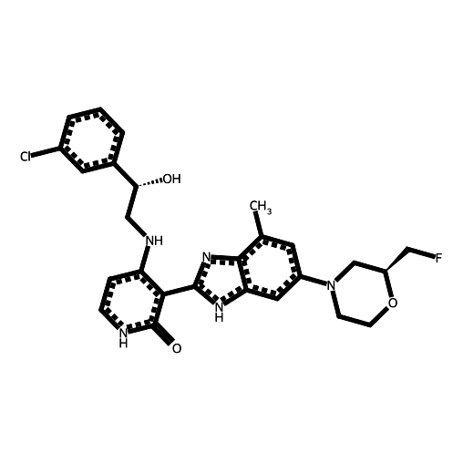 Cc1cc(N2CCO[C@H](CF)C2)cc2[nH]c(-c3c(NC[C@@H](O)c4cccc(Cl)c4)cc[nH]c3=O)nc12